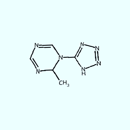 CC1N=CN=CN1c1nnn[nH]1